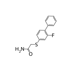 NC(=O)CSc1ccc(-c2ccccc2)c(F)c1